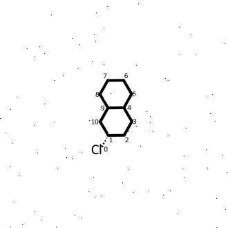 Cl[C@H]1CCC2CCCCC2C1